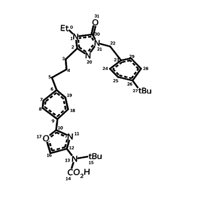 CCn1c(CCCc2ccc(-c3nc(N(C(=O)O)C(C)(C)C)co3)cc2)nn(Cc2ccc(C(C)(C)C)cc2)c1=O